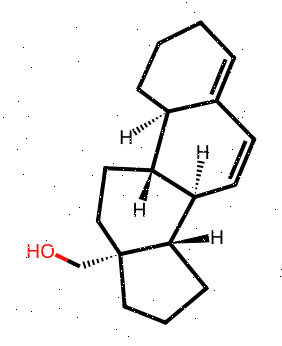 OC[C@@]12CCC[C@H]1[C@@H]1C=CC3=CCCC[C@@H]3[C@H]1CC2